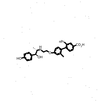 CCCc1cc(C(=O)O)ccc1-c1ccc(OCCN[C@@H](C)[C@@H](O)c2ccc(O)cc2)cc1C